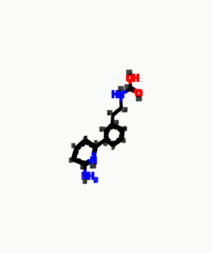 Nc1cccc(-c2cccc(CCNC(=O)O)c2)n1